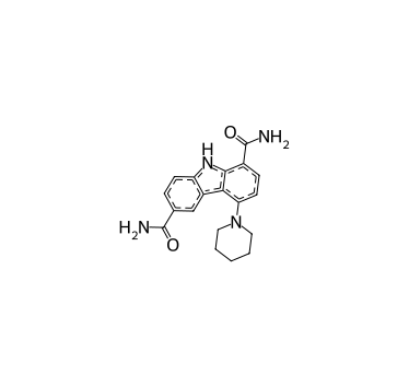 NC(=O)c1ccc2[nH]c3c(C(N)=O)ccc(N4CCCCC4)c3c2c1